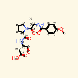 COc1ccc(C(=O)N[C@@H](C)C(=O)N2CCC[C@H]2C(=O)N[C@H](C=O)CC(=O)O)cc1